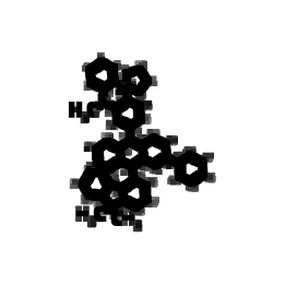 CN1c2ccccc2[Si]2(CCCC2)c2ccc(-c3c4ccccc4c(-c4cccc5c4-c4ccccc4C5(C)C)c4cc(-c5ccccc5)ccc34)cc21